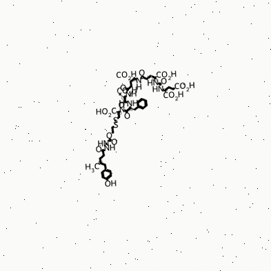 C[C@H](CCC(=O)NNC(=O)OCCSSC[C@H](NC(=O)[C@H](Cc1ccccc1)NC(=O)[C@H](CC(=O)O)NC(=O)CC[C@H](NC(=O)CC[C@H](NC(=O)N[C@@H](CCC(=O)O)C(=O)O)C(=O)O)C(=O)O)C(=O)O)Cc1ccc(O)cc1